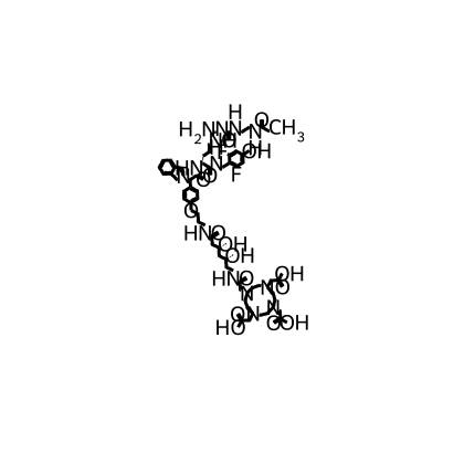 CCC(=O)NCCNC(=O)/N=C(/N)NCCC[C@@H](NC(=O)[C@H](c1ccc(OCCCNC(=O)C[C@H](O)C[C@H](O)CCNC(=O)CN2CCN(CC(=O)O)CCN(CC(=O)O)CCN(CC(=O)O)CC2)cc1)N1Cc2ccccc2C1)C(=O)NCc1c(F)cc(O)cc1F